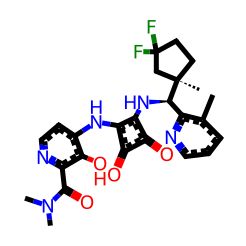 Cc1cccnc1[C@@H](Nc1c(Nc2ccnc(C(=O)N(C)C)c2O)c(=O)c1=O)[C@]1(C)CCC(F)(F)C1